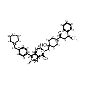 Cn1nc2c(=O)n(CC3(O)CCN(C(=O)CC(c4ccccc4)C(F)(F)F)CC3)cnc2c1-c1ccc(CN2CCOCC2)cc1